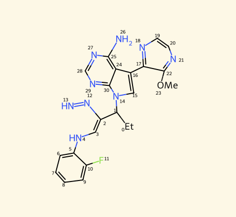 CCC(/C(=C/Nc1ccccc1F)N=N)n1cc(-c2nccnc2OC)c2c(N)ncnc21